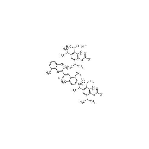 CC(=Nc1c(C)cccc1C)C(C)=Nc1c(C)cccc1C.CC(C)c1cc(C(C)C)c(C(C)C)c(O)c1OC(=O)[O-].CC(C)c1cc(C(C)C)c(C(C)C)c(O)c1OC(=O)[O-].[Ni+2]